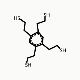 SCCc1cc(CCS)c(CCS)cc1CCS